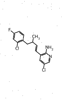 CC(/C=C/c1cc(Cl)cnc1N)Cc1ccc(F)cc1Cl